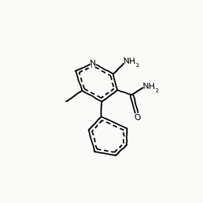 Cc1cnc(N)c(C(N)=O)c1-c1ccccc1